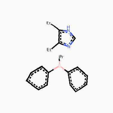 CC(C)B(c1ccccc1)c1ccccc1.CCc1nc[nH]c1CC